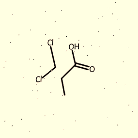 CCC(=O)O.ClCCl